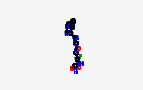 N#Cc1cnn2cc(-c3cnn(C4CCN(C(=O)CN5CCC(c6ccc(NC7CCC(=O)NC7=O)cc6F)CC5)CC4)c3)cc(-c3ccc(N4CC5CC(C4)N5Cc4cccnc4)nc3)c12